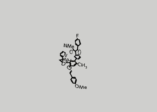 CNC(=O)C1c2cc(-c3cc(C(=O)NC4(c5ccccn5)CC4)c(OCCc4ccc(OC)cc4)cc3C)ccc2OC1c1ccc(F)cc1